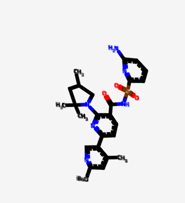 Cc1cc(OCC(C)C)ncc1-c1ccc(C(=O)NS(=O)(=O)c2cccc(N)n2)c(N2CC(C)CC2(C)C)n1